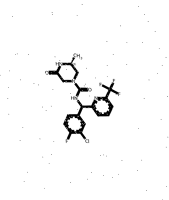 C[C@H]1CN(C(=O)NC(c2ccc(F)c(Cl)c2)c2cccc(C(F)(F)F)n2)CC(=O)N1